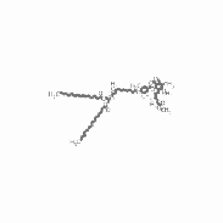 CCCCCCCCCCCCCCCC(=O)OCC(COC(=O)CCCCCCCCCCCCCCC)OC(=O)CC(C)CCCCCCC(=O)Oc1c(C)cc(COc2c(CC=C(C)CCC(=O)OC)c(OC)c(C)c3c2C(=O)OC3)cc1C